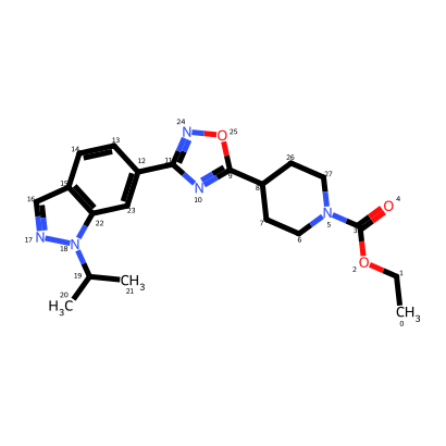 CCOC(=O)N1CCC(c2nc(-c3ccc4cnn(C(C)C)c4c3)no2)CC1